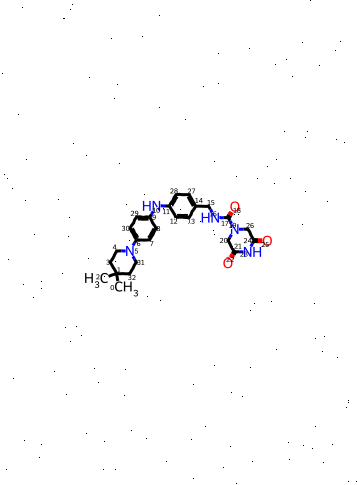 CC1(C)CCN(c2ccc(Nc3ccc(CNC(=O)N4CC(=O)NC(=O)C4)cc3)cc2)CC1